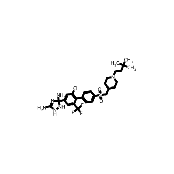 CC(C)(C)CCN1CCC(CS(=O)(=O)c2ccc(-c3c(Cl)cc(C4(N)N=C(N)NN4)cc3C(F)(F)F)cc2)CC1